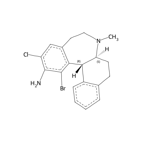 CN1CCc2cc(Cl)c(N)c(Br)c2[C@H]2c3ccccc3CC[C@@H]21